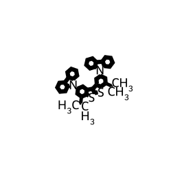 CC(C)c1cc(-n2c3ccccc3c3ccccc32)cc2c1sc1sc3c(C(C)C)cc(-n4c5ccccc5c5ccccc54)cc3c12